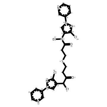 CCC(C(=O)CCSCCC(=O)N(CC)c1cn(-c2cccnc2)nc1Cl)c1cn(-c2cccnc2)nc1Cl